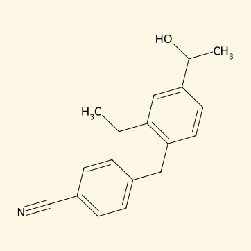 CCc1cc(C(C)O)ccc1Cc1ccc(C#N)cc1